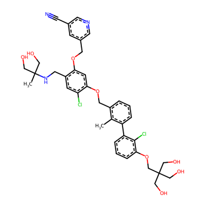 Cc1c(COc2cc(OCc3cncc(C#N)c3)c(CNC(C)(CO)CO)cc2Cl)cccc1-c1cccc(OCC(CO)(CO)CO)c1Cl